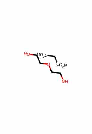 O=C(O)CC(=O)O.OCCOCCO